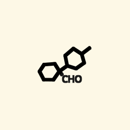 CC1CCC(C2(C=O)CCCCC2)CC1